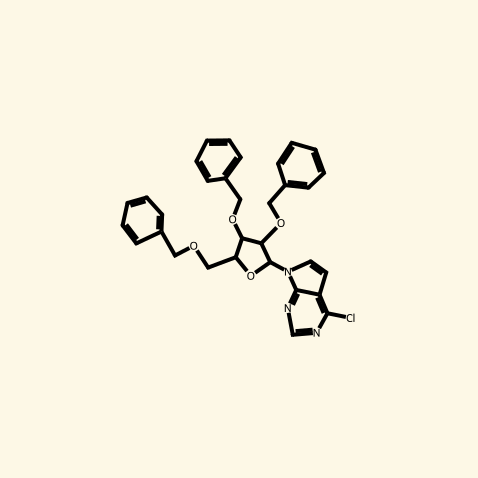 Clc1ncnc2c1ccn2C1OC(COCc2ccccc2)C(OCc2ccccc2)C1OCc1ccccc1